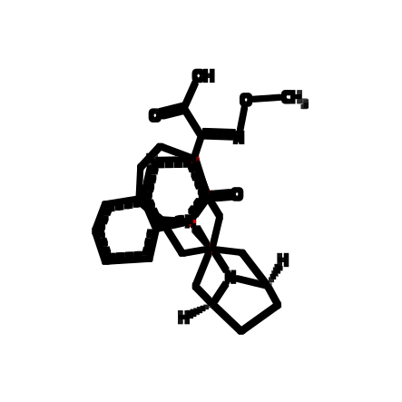 CO/N=C(\C(=O)O)c1nc2ccccc2n([C@H]2C[C@H]3CC[C@@H](C2)N3C2CC3CCCCC(C3)C2)c1=O